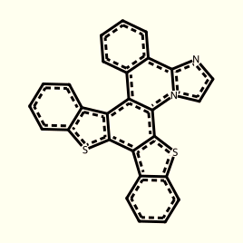 c1ccc2c(c1)sc1c2c2sc3ccccc3c2c2c3ccccc3c3nccn3c12